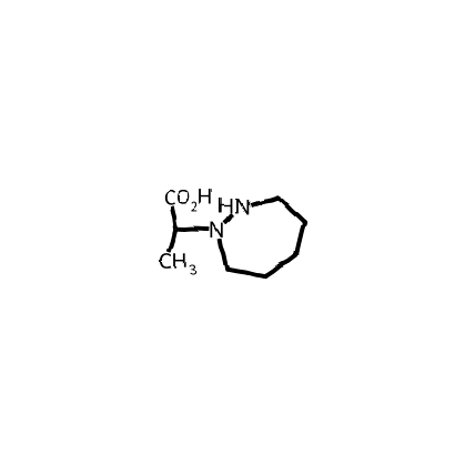 CC(C(=O)O)N1CCCCCN1